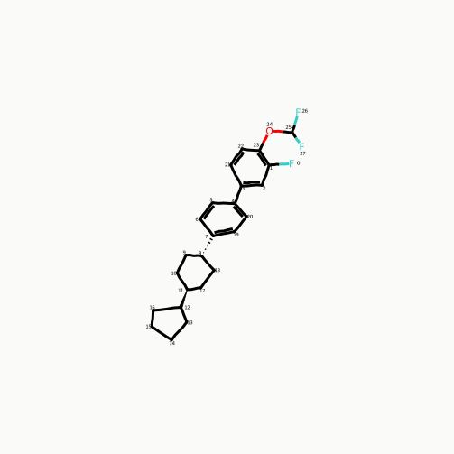 Fc1cc(-c2ccc([C@H]3CC[C@H](C4CCCC4)CC3)cc2)ccc1OC(F)F